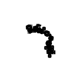 CC(C)Oc1cc2c(cc1NC(=O)c1cnn3cccnc13)CN(C1CCN(C[C@H]3CCN(c4ccc5c(c4)C(=O)N(C4CCC(=O)NC4=O)C5=O)C3)CC1)C2=O